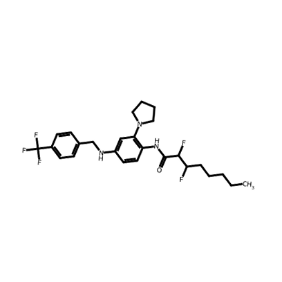 CCCCCC(F)C(F)C(=O)Nc1ccc(NCc2ccc(C(F)(F)F)cc2)cc1N1CCCC1